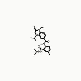 CCn1c(=O)cc(C(C)C)c2cc(C(=O)N(C)c3ccc(C)cc3C(=O)NC(C)C)ccc21